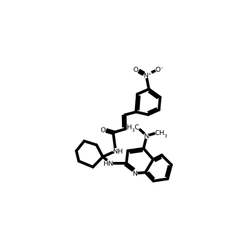 CN(C)c1cc(NC2(NC(=O)C=Cc3cccc([N+](=O)[O-])c3)CCCCC2)nc2ccccc12